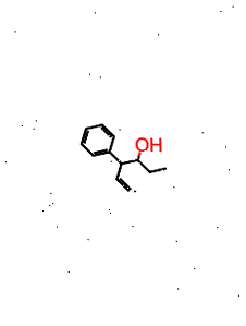 [CH]=CC(c1ccccc1)C(O)CC